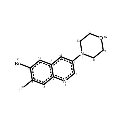 Fc1cc2ncc(N3CCOCC3)cc2cc1Br